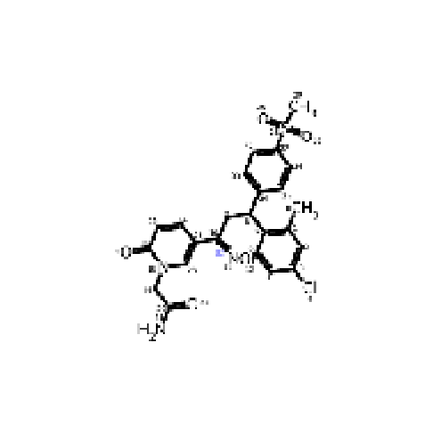 Cc1cc(Cl)ccc1C(C/C(=N\O)c1ccc(=O)n(CC(N)=O)c1)c1ccc(S(C)(=O)=O)cc1